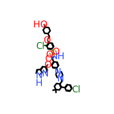 CC1(C)CCC(CN2CCN(c3ccc(C(=O)NS(=O)(=O)c4ccc(OCC5CCC(O)CC5)c(Cl)c4)c(Oc4cnc5[nH]ccc5c4)c3)CC2)=C(c2ccc(Cl)cc2)C1